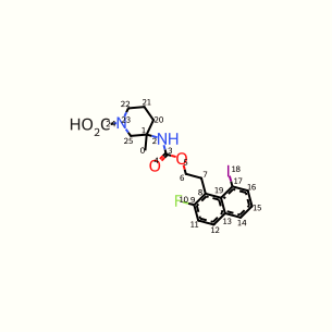 CC1(NC(=O)OCCc2c(F)ccc3cccc(I)c23)CCCN(C(=O)O)C1